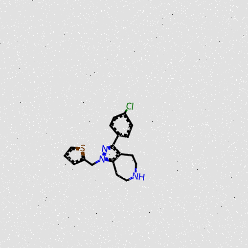 Clc1ccc(-c2nn(Cc3cccs3)c3c2CCNCC3)cc1